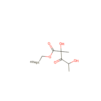 CCCCCCCCOC(=O)C(C)(O)C(=O)C(C)O